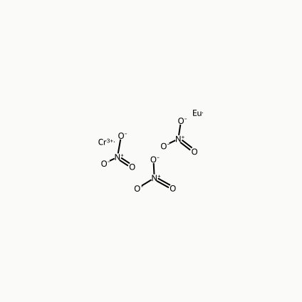 O=[N+]([O-])[O-].O=[N+]([O-])[O-].O=[N+]([O-])[O-].[Cr+3].[Eu]